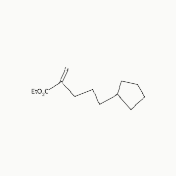 C=C(CCCC1CCCC1)C(=O)OCC